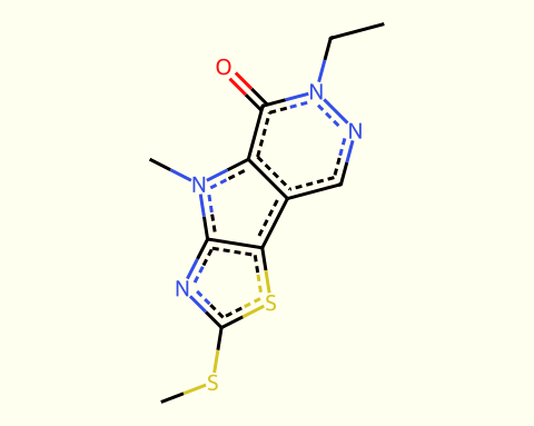 CCn1ncc2c3sc(SC)nc3n(C)c2c1=O